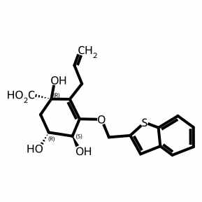 C=CCC1=C(OCc2cc3ccccc3s2)[C@@H](O)[C@H](O)C[C@]1(O)C(=O)O